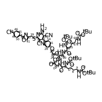 C[C@H](NC(=O)[C@H](CCCCNC(=O)OC(C)(C)C)NC(=O)OC(C)(C)C)C(=O)OC[C@@H](COc1ccc(-c2c(C#N)c(N)nc(SCc3coc(-c4ccc(Cl)cc4)n3)c2C#N)cc1)OC(=O)[C@H](C)NC(=O)[C@H](CCCCNC(=O)OC(C)(C)C)NC(=O)OC(C)(C)C